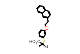 CCC(C)(Sc1cccc(OCCc2ccc3ccccc3c2)c1)C(=O)O